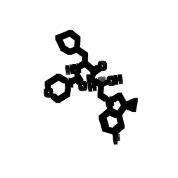 O=C(N[C@@H](O)CN1CC2(CC2)c2cc(F)ccc21)C(CC1CCCCC1)NC(=O)N1CCOCC1